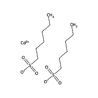 CCCCCCS(=O)(=O)[O-].CCCCCCS(=O)(=O)[O-].[Cd+2]